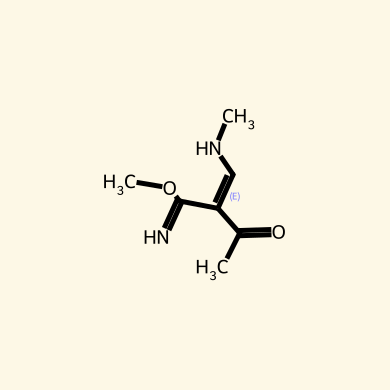 CN/C=C(\C(=N)OC)C(C)=O